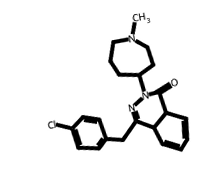 CN1CCCC(N2N=C(Cc3ccc(Cl)cc3)C3C=CC=CC3C2=O)CC1